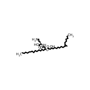 CCCCCCCCCCCCCCCC(CC(=O)N[C@@H](CCCN)C(=O)O)OC(=O)CC(O)CCCCCCCC1CC1CCCCCC